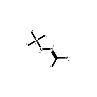 CC(=O)/C(C)=N/O[Si](C)(C)C